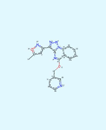 Cc1cc(-c2nnn3c2nc(OCc2cccnc2)c2ccccc23)no1